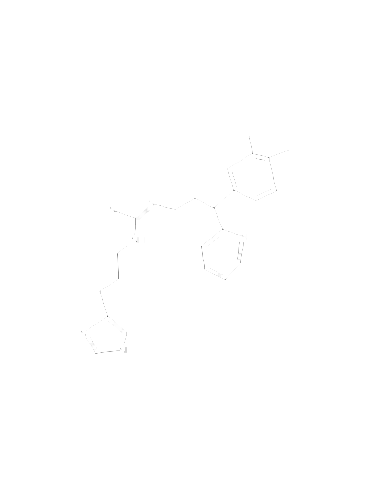 NC(=NCCC(c1ccc(Cl)c(Cl)c1)c1ccccn1)NCCCc1c[nH]cn1